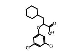 O=C(O)C(CC1CCCCC1)Oc1cc(Cl)cc(Cl)c1